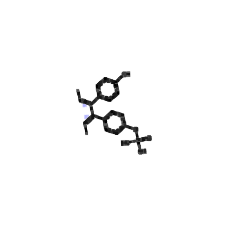 C/C=C(/C(=C/C)c1ccc(OP(=O)(O)O)cc1)c1ccc(O)cc1